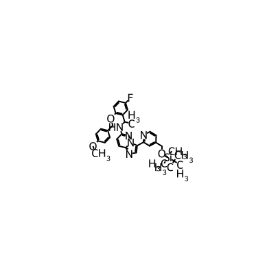 COc1ccc(COc2ccc(F)cc2C(C)Nc2ccc3ncc(-c4cc(CO[Si](C)(C)C(C)(C)C)ccn4)n3n2)cc1